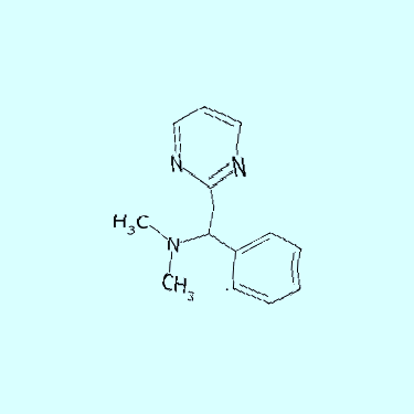 CN(C)C(c1[c]cccc1)c1ncccn1